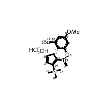 Cl.Cl.[CH2]=[Ti]([O]c1cc(OC)cc(C(C)(C)C)c1)[C]1=C([Si](C)(C)C)C=CC1